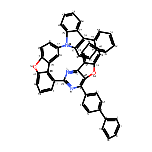 c1ccc(-c2ccc(-c3nc(-c4cccc5oc6ccc(-n7c8ccccc8c8c9ccccc9ccc87)cc6c45)nc4c3oc3ccccc34)cc2)cc1